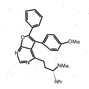 CCC[C@H](CCc1ncnc2oc(-c3ccccc3)c(-c3ccc(OC)cc3)c12)NC